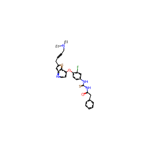 CCN(CC)CC#CCc1cc2nccc(Oc3ccc(NC(=S)NC(=O)Cc4ccccc4)cc3F)c2s1